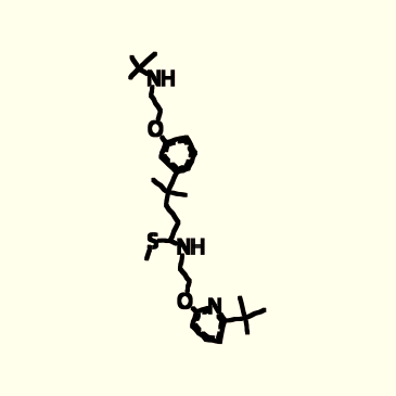 CSC(CCC(C)(C)c1cccc(OCCNC(C)(C)C)c1)NCCOc1cccc(C(C)(C)C)n1